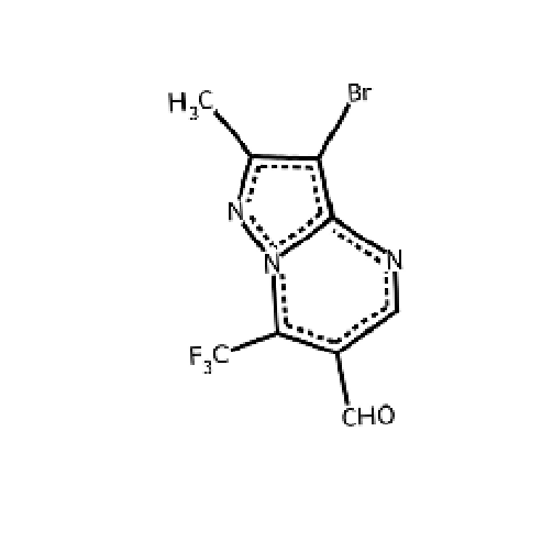 Cc1nn2c(C(F)(F)F)c(C=O)cnc2c1Br